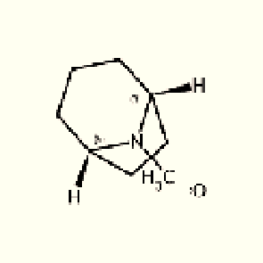 CN1[C@@H]2CCC[C@H]1CC2.[O]